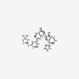 FC1(F)CCN(Cc2cncc(-c3cc4c(-c5nc6c(-c7cccs7)nccc6[nH]5)n[nH]c4cn3)c2)C1